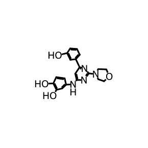 Oc1cccc(-c2cc(Nc3ccc(O)c(O)c3)nc(N3CCOCC3)n2)c1